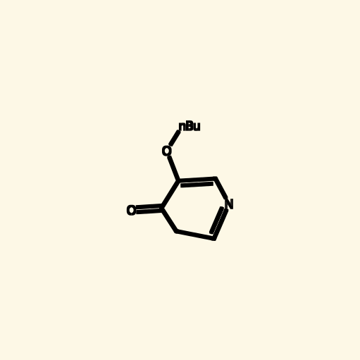 CCCCOC1=CN=CCC1=O